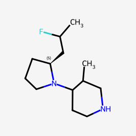 CC(F)C[C@@H]1CCCN1C1CCNCC1C